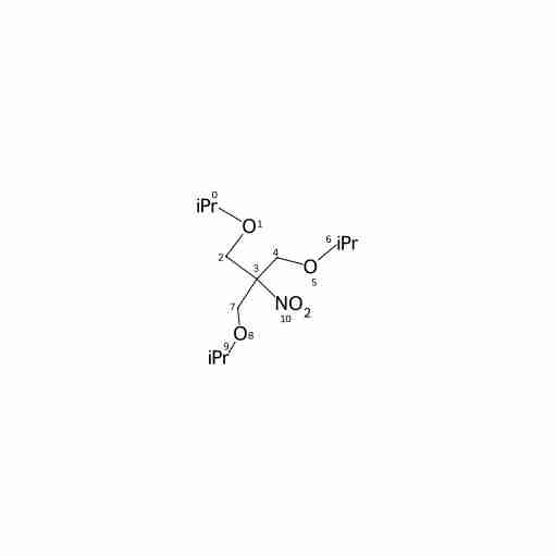 CC(C)OCC(COC(C)C)(COC(C)C)[N+](=O)[O-]